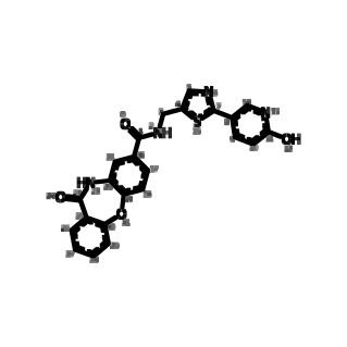 O=C(NCc1cnc(-c2ccc(O)nc2)s1)c1ccc2c(c1)NC(=O)c1ccccc1O2